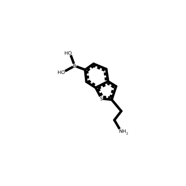 NCCc1cc2ccc(B(O)O)cc2s1